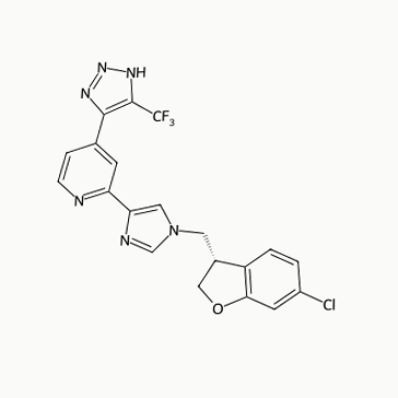 FC(F)(F)c1[nH]nnc1-c1ccnc(-c2cn(C[C@H]3COc4cc(Cl)ccc43)cn2)c1